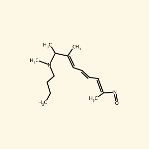 CCCCN(C)C(C)/C(C)=C/C=C/C=C(\C)N=O